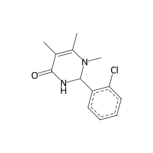 CC1=C(C)N(C)C(c2ccccc2Cl)NC1=O